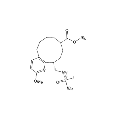 COc1ccc2c(n1)[C@@H](CN[SH](=O)(I)C(C)(C)C)CCC(C(=O)OC(C)(C)C)CCCC2